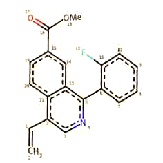 C=Cc1cnc(-c2ccccc2F)c2cc(C(=O)OC)ccc12